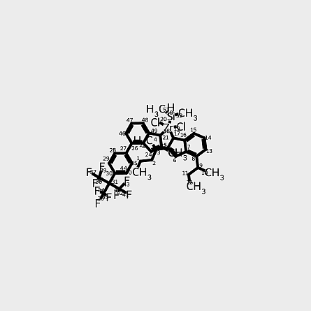 CCCC(C)C1=Cc2c(C(C)CC)cccc2[CH]1[Zr]([Cl])([Cl])([CH]1C(C)=Cc2c(-c3ccc(C(C(F)(F)F)(C(F)(F)F)C(F)(F)F)cc3)cccc21)[SiH](C)C